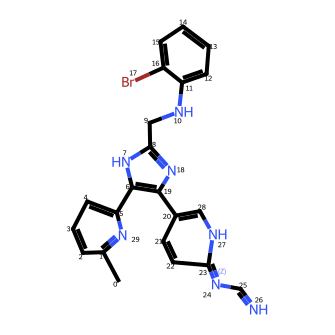 Cc1cccc(-c2[nH]c(CNc3ccccc3Br)nc2-c2cc/c(=N/C=N)[nH]c2)n1